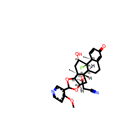 COc1ccncc1C1O[C@@H]2C[C@H]3[C@@H]4CCC5=CC(=O)C=C[C@]5(C)[C@@]4(F)[C@@H](O)C[C@]3(C)[C@]2(C(=O)CC#N)O1